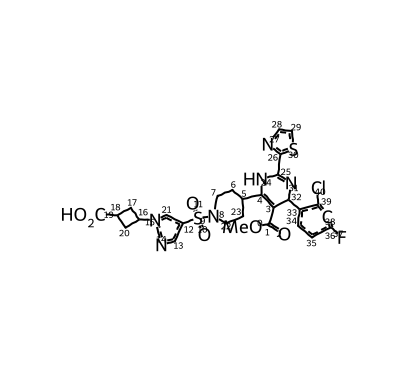 COC(=O)C1=C(C2CCN(S(=O)(=O)c3cnn(C4CC(C(=O)O)C4)c3)CC2)NC(c2nccs2)=NC1c1ccc(F)cc1Cl